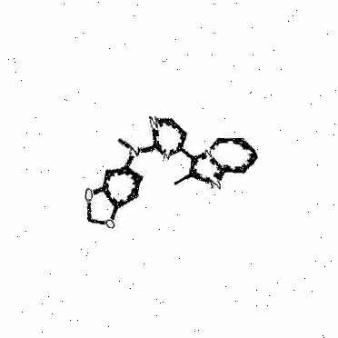 Cc1nc2ccccn2c1-c1ccnc(N(C)c2ccc3c(c2)OCO3)n1